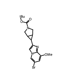 COc1cc(Br)cn2cc(C3C4CN(C(=O)OC(C)(C)C)CC43)nc12